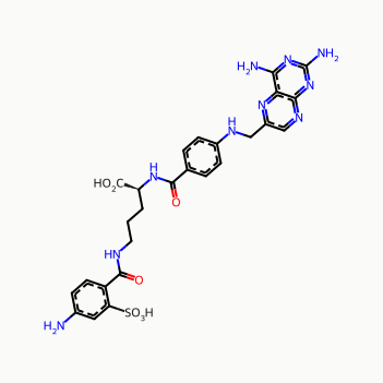 Nc1ccc(C(=O)NCCC[C@H](NC(=O)c2ccc(NCc3cnc4nc(N)nc(N)c4n3)cc2)C(=O)O)c(S(=O)(=O)O)c1